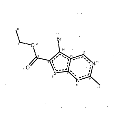 CCOC(=O)c1sc2nc(C)ncc2c1Br